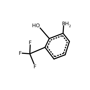 Bc1cccc(C(F)(F)F)c1O